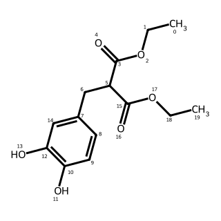 CCOC(=O)C(Cc1ccc(O)c(O)c1)C(=O)OCC